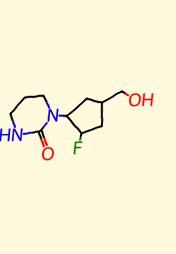 O=C1NCCCN1C1CC(CO)CC1F